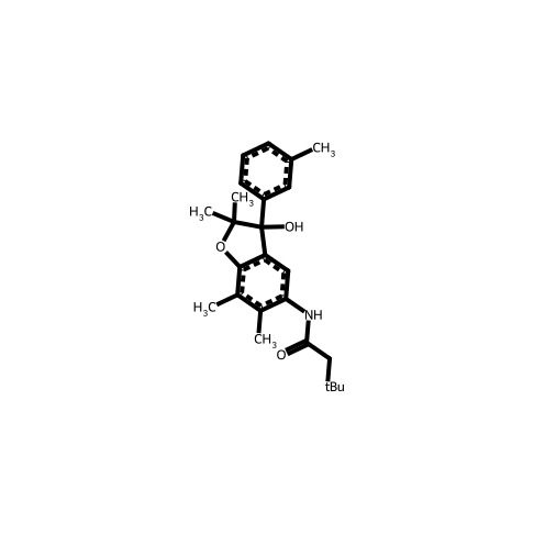 Cc1cccc(C2(O)c3cc(NC(=O)CC(C)(C)C)c(C)c(C)c3OC2(C)C)c1